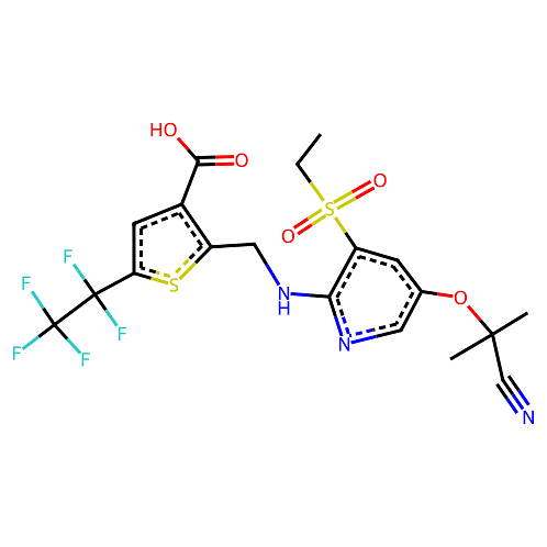 CCS(=O)(=O)c1cc(OC(C)(C)C#N)cnc1NCc1sc(C(F)(F)C(F)(F)F)cc1C(=O)O